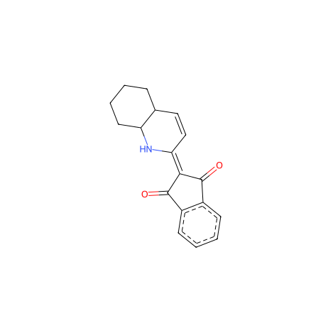 O=C1C(=C2C=CC3CCCCC3N2)C(=O)c2ccccc21